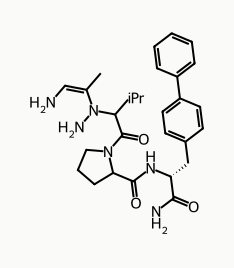 C/C(=C/N)N(N)C(C(=O)N1CCCC1C(=O)N[C@H](Cc1ccc(-c2ccccc2)cc1)C(N)=O)C(C)C